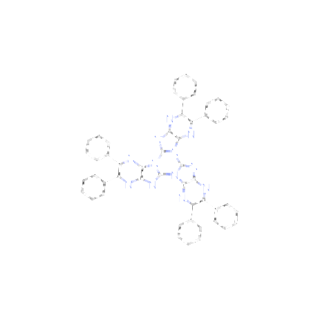 c1ccc(-c2nc3nc4n(c3nc2-c2ccccc2)c2nc3nc(-c5ccccc5)c(-c5ccccc5)nc3n2c2nc3nc(-c5ccccc5)c(-c5ccccc5)nc3n42)cc1